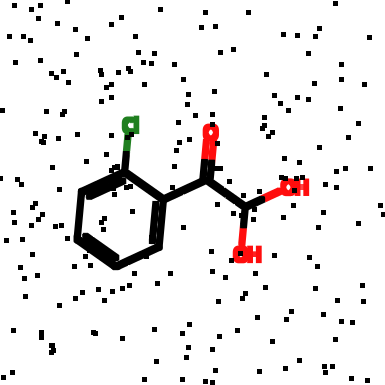 O=C(c1ccccc1Cl)C(O)O